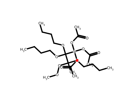 CCCCOC(C)(OOC)C(OCCCC)(OCCCC)[Si](OC(C)=O)(OC(C)=O)OC(C)=O